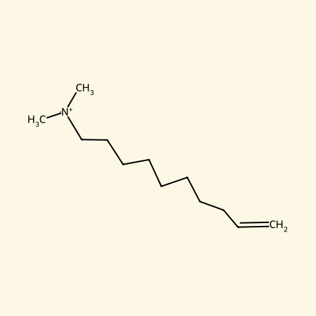 C=CCCCCCCCC[N+](C)C